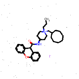 CCC[N+]1(CC2CCCCCCC2)CCC(NC(=O)C2c3ccccc3Oc3ccccc32)CC1.[I-]